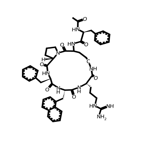 CC(=O)N[C@@H](Cc1ccccc1)C(=O)NC1CCCNC(=O)[C@H](CCCNC(=N)N)NC(=O)[C@H](Cc2cccc3ccccc23)NC(=O)[C@@H](Cc2ccccc2)NC(=O)[C@@H]2CCCN2C1=O